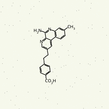 Cc1ccc2c(c1)nc(N)c1ncc(CCc3ccc(C(=O)O)cc3)cc12